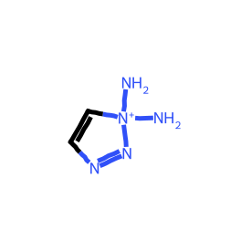 N[N+]1(N)C=CN=N1